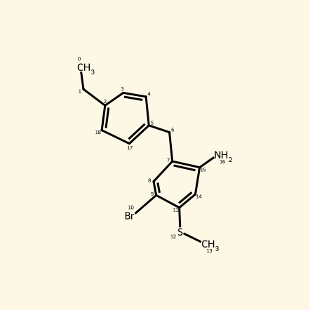 CCc1ccc(Cc2cc(Br)c(SC)cc2N)cc1